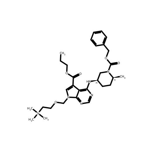 CCCOC(=O)c1cn(COCC[Si](C)(C)C)c2ncnc(N[C@@H]3CC[C@H](C)N(C(=O)OCc4ccccc4)C3)c12